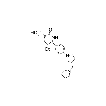 CCc1cc(C(=O)O)c(=O)[nH]c1-c1ccc(N2CCC(CN3CCCC3)C2)cc1